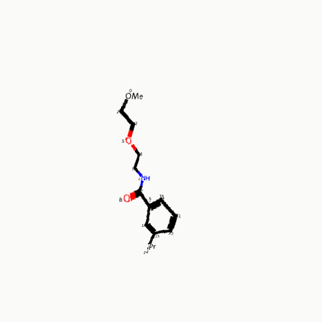 COCCOCCNC(=O)c1cccc(C(C)C)c1